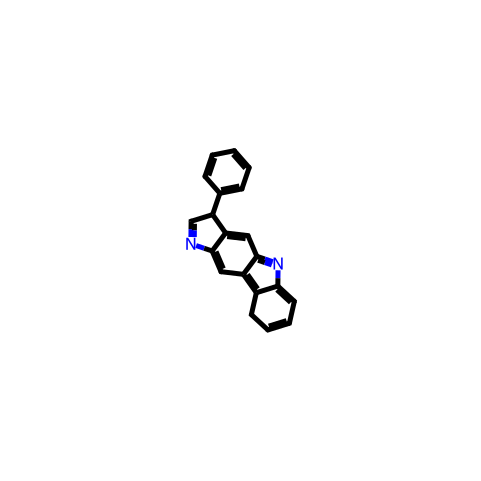 C1=CCC2=c3cc4c(cc3=NC2=C1)C(c1ccccc1)C=N4